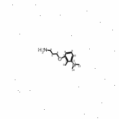 Cc1c(OCCCN)cccc1N(C)C